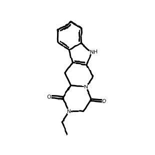 CCN1CC(=O)N2Cc3[nH]c4ccccc4c3CC2C1=O